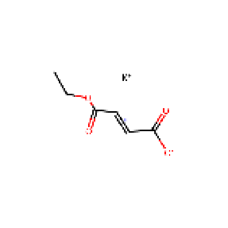 CCOC(=O)/C=C/C(=O)[O-].[K+]